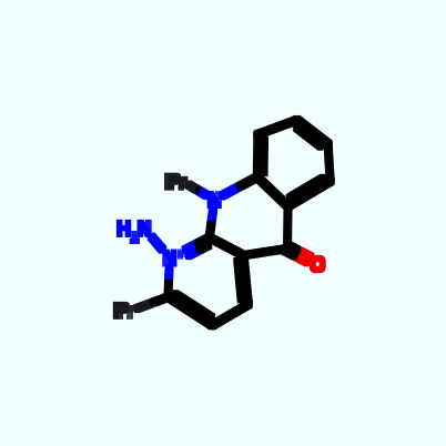 CC(C)c1ccc2c(=O)c3ccccc3n(C(C)C)c2[n+]1N